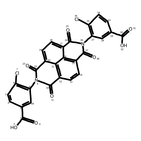 O=C(O)c1ccc(Cl)c(N2C(=O)c3ccc4c5c(ccc(c35)C2=O)C(=O)N(c2cc(C(=O)O)ccc2Cl)C4=O)c1